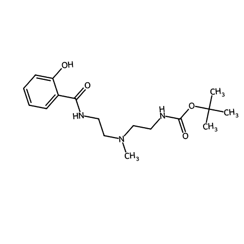 CN(CCNC(=O)OC(C)(C)C)CCNC(=O)c1ccccc1O